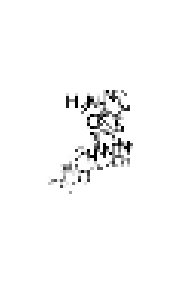 CC1CCC2(CCN(c3ncc(Sc4ccnc(N)c4Cl)c4nccn34)CC2)C1